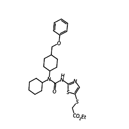 CCOC(=O)CSc1cnc(NC(=O)N(C2CCCCC2)C2CCC(COc3ccccc3)CC2)s1